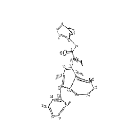 O=C(Cc1cccs1)Nc1ccc(-c2ccccc2)c2cccnc12